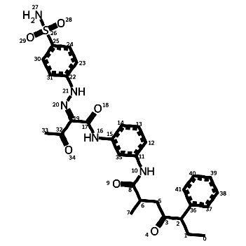 CCC(C(=O)CC(C)C(=O)Nc1cccc(NC(=O)/C(=N\Nc2ccc(S(N)(=O)=O)cc2)C(C)=O)c1)c1ccccc1